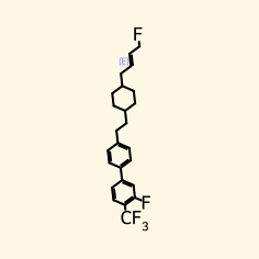 FC/C=C/CC1CCC(CCc2ccc(-c3ccc(C(F)(F)F)c(F)c3)cc2)CC1